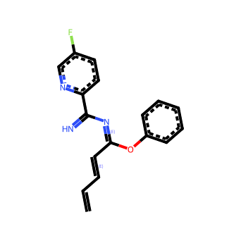 C=C/C=C/C(=N\C(=N)c1ccc(F)cn1)Oc1ccccc1